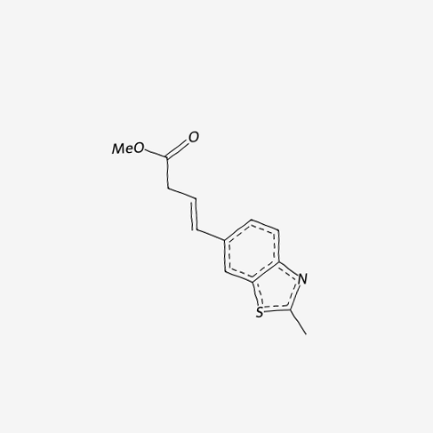 COC(=O)CC=Cc1ccc2nc(C)sc2c1